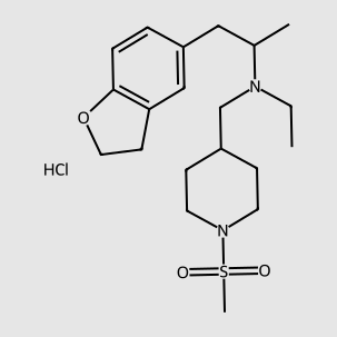 CCN(CC1CCN(S(C)(=O)=O)CC1)C(C)Cc1ccc2c(c1)CCO2.Cl